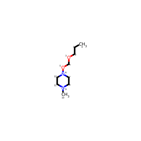 CCCOCON1CCN(C)CC1